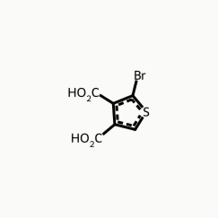 O=C(O)c1csc(Br)c1C(=O)O